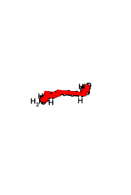 Cc1cnc(Nc2ccc(N3CCN(CCCOCCOCCOCCOCCNc4ccc5c(c4)C(=O)N(C4CCC(=O)NC4=O)C5=O)CC3)cc2)nc1Nc1cccc(S(N)(=O)=O)c1C(C)(C)C